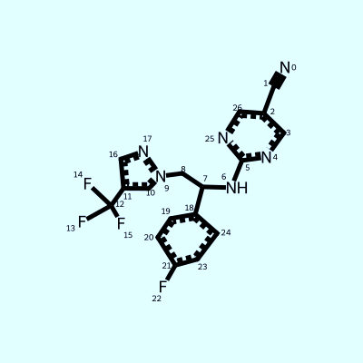 N#Cc1cnc(NC(Cn2cc(C(F)(F)F)cn2)c2ccc(F)cc2)nc1